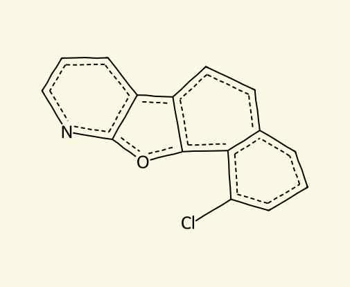 Clc1cccc2ccc3c4cccnc4oc3c12